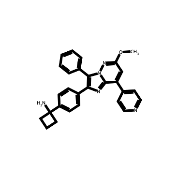 COc1cc(-c2ccncc2)c2nc(-c3ccc(C4(N)CCC4)cc3)c(-c3ccccc3)n2n1